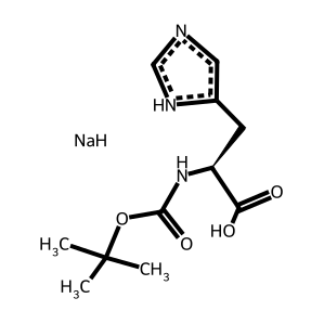 CC(C)(C)OC(=O)N[C@@H](Cc1cnc[nH]1)C(=O)O.[NaH]